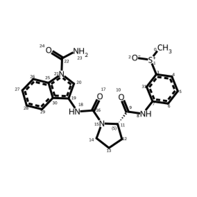 C[S+]([O-])c1cccc(NC(=O)[C@@H]2CCCN2C(=O)Nc2cn(C(N)=O)c3ccccc23)c1